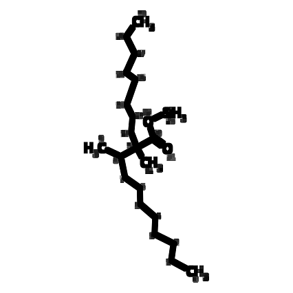 CCCCCCCCC(C)C(C)(CCCCCCCC)C(=O)O[SiH3]